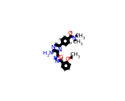 CCOc1ccccc1-c1nnc(-c2nc(-c3ccc(C(=O)N(C)C)cc3)cnc2N)o1